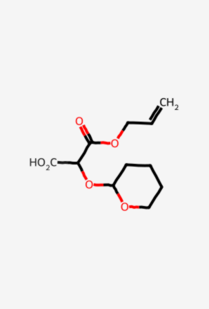 C=CCOC(=O)C(OC1CCCCO1)C(=O)O